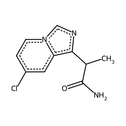 CC(C(N)=O)c1ncn2ccc(Cl)cc12